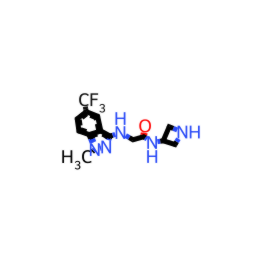 Cn1nc(NCC(=O)NC2CNC2)c2cc(C(F)(F)F)ccc21